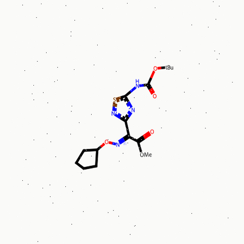 COC(=O)/C(=N/OC1CCCC1)c1nsc(NC(=O)OC(C)(C)C)n1